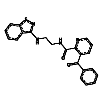 O=C(c1ccccc1)c1cccnc1C(=O)NCCNc1nsc2ccccc12